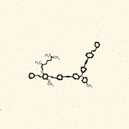 COc1cc(C=Cc2ccccc2)c(OCCC(C)CCCC(C)C)cc1C=Cc1ccc(C#Cc2ccc(N(c3ccc(C)cc3)c3ccc(C#Cc4ccc(C=Cc5ccccc5)cc4)cc3)cc2)cc1